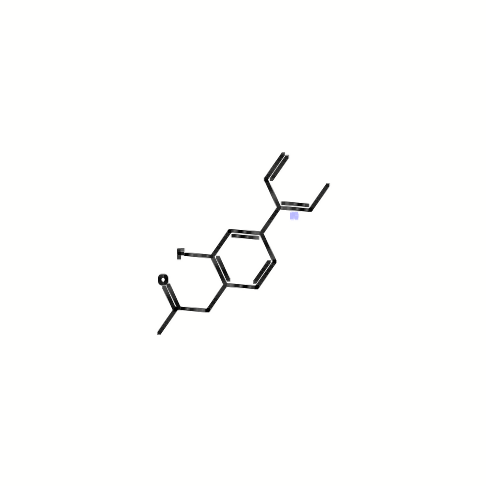 C=C/C(=C\C)c1ccc(CC(C)=O)c(F)c1